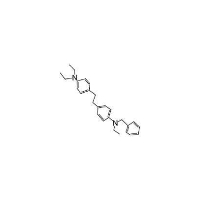 CCN(CC)c1ccc(CCc2ccc(N(CC)Cc3ccccc3)cc2)cc1